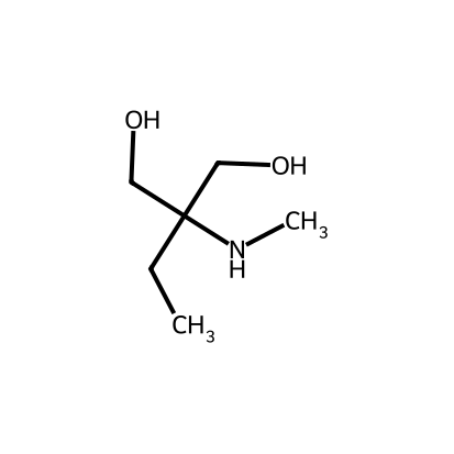 CCC(CO)(CO)NC